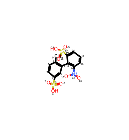 Cc1ccc(S(=O)(=O)O)cc1-c1c([N+](=O)[O-])cccc1S(=O)(=O)O